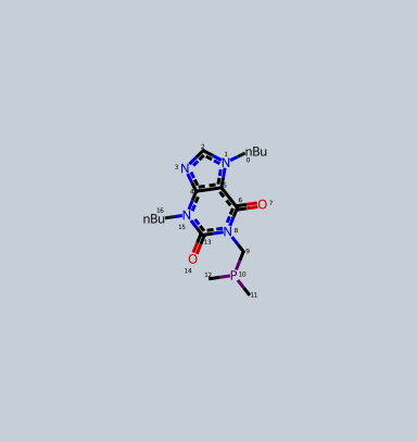 CCCCn1cnc2c1c(=O)n(CP(C)C)c(=O)n2CCCC